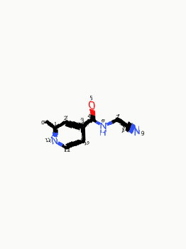 Cc1cc(C(=O)NCC#N)ccn1